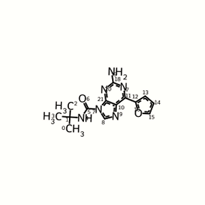 CC(C)(C)NC(=O)n1cnc2c(-c3ccco3)nc(N)nc21